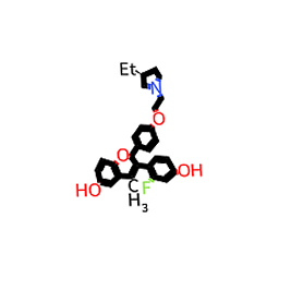 CC[C@@H]1CCN(CCOc2ccc(C3Oc4ccc(O)cc4C(C)=C3c3ccc(O)cc3F)cc2)C1